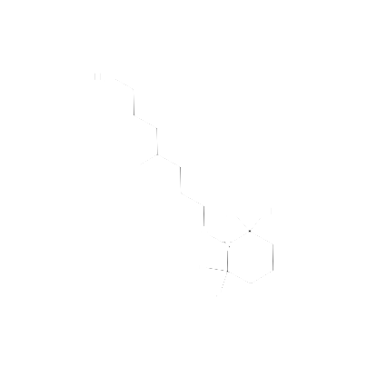 CCCCC(O)CCCON1C(C)(C)CCCC1(C)C